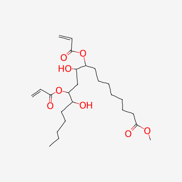 C=CC(=O)OC(CCCCCCCC(=O)OC)C(O)CC(OC(=O)C=C)C(O)CCCCC